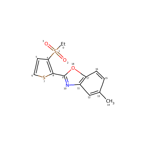 CCS(=O)(=O)c1ccsc1-c1nc2cc(C)ccc2o1